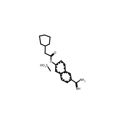 CS(=O)(=O)O.N=C(N)c1ccc2cc(OC(=O)CC3CCCCC3)ccc2c1